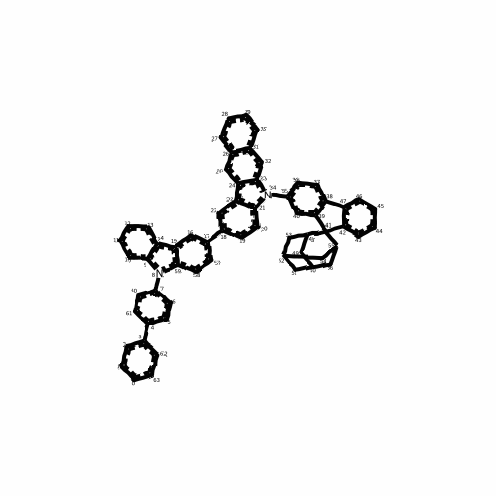 c1ccc(-c2ccc(-n3c4ccccc4c4cc(-c5ccc6c(c5)c5cc7ccccc7cc5n6-c5ccc6c(c5)C5(c7ccccc7-6)C6CC7CC(C6)CC5C7)ccc43)cc2)cc1